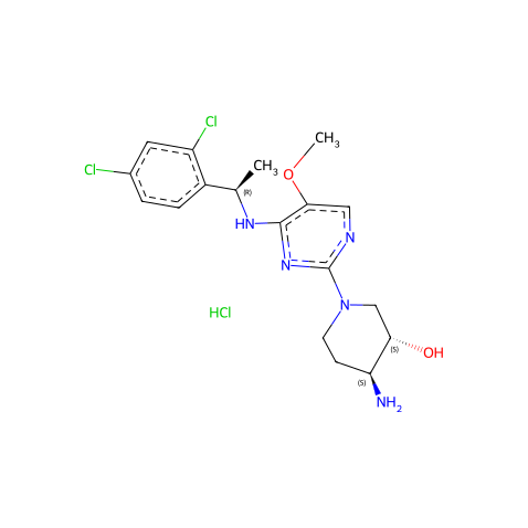 COc1cnc(N2CC[C@H](N)[C@@H](O)C2)nc1N[C@H](C)c1ccc(Cl)cc1Cl.Cl